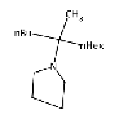 CCCCCCC(C)(CCCC)N1CCCC1